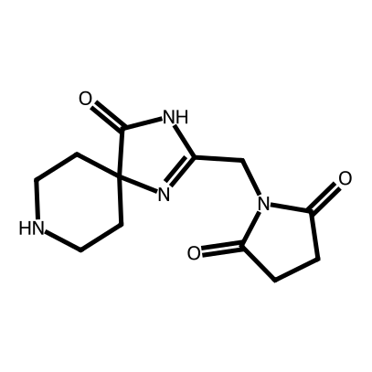 O=C1CCC(=O)N1CC1=NC2(CCNCC2)C(=O)N1